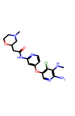 CNc1c(N)ncc(Oc2ccnc(NC(=O)CC3CN(C)CCO3)c2)c1Cl